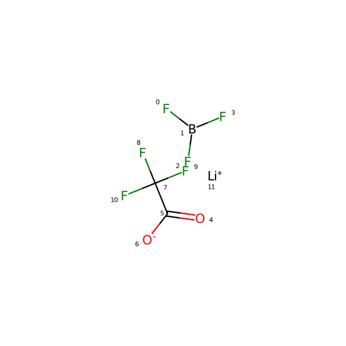 FB(F)F.O=C([O-])C(F)(F)F.[Li+]